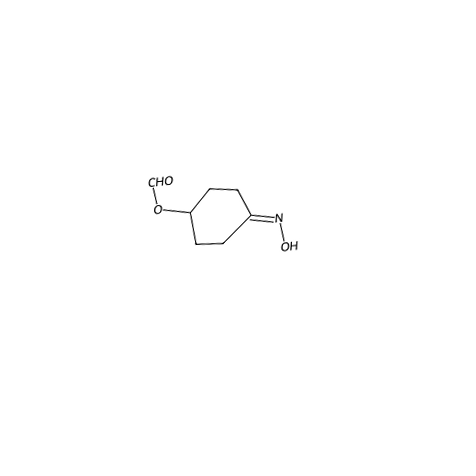 O=COC1CCC(=NO)CC1